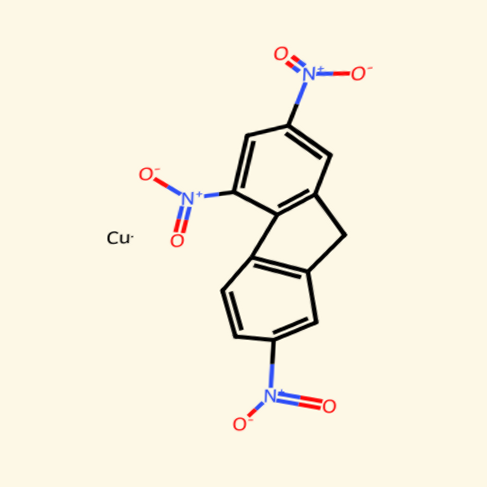 O=[N+]([O-])c1ccc2c(c1)Cc1cc([N+](=O)[O-])cc([N+](=O)[O-])c1-2.[Cu]